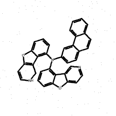 C1=Cc2oc3cccc(N(c4ccc5ccc6ccccc6c5c4)c4cccc5oc6ccncc6c45)c3c2CN1